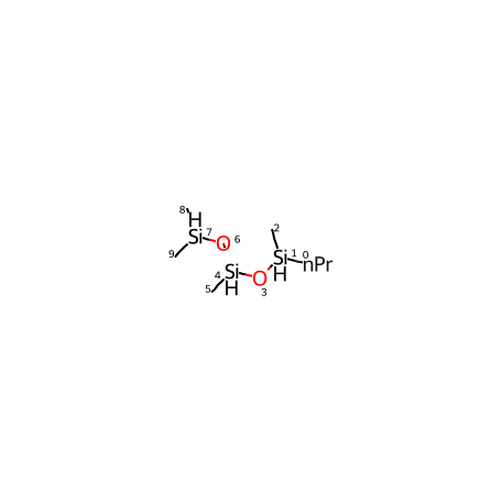 CCC[SiH](C)O[SiH](C)O[SiH](C)C